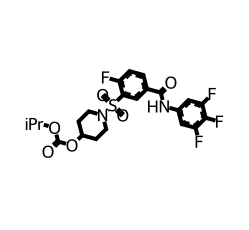 CC(C)OC(=O)OC1CCN(S(=O)(=O)c2cc(C(=O)Nc3cc(F)c(F)c(F)c3)ccc2F)CC1